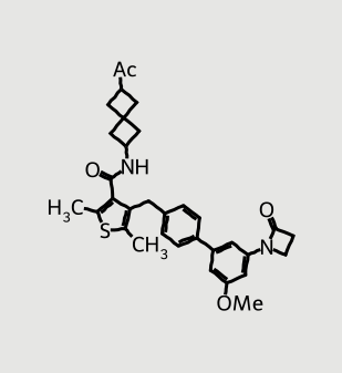 COc1cc(-c2ccc(Cc3c(C)sc(C)c3C(=O)NC3CC4(C3)CC(C(C)=O)C4)cc2)cc(N2CCC2=O)c1